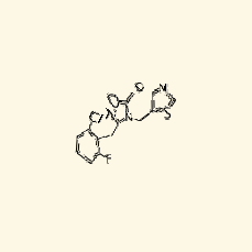 O=c1onc(Cc2c(F)cccc2Cl)n1Cc1cncs1